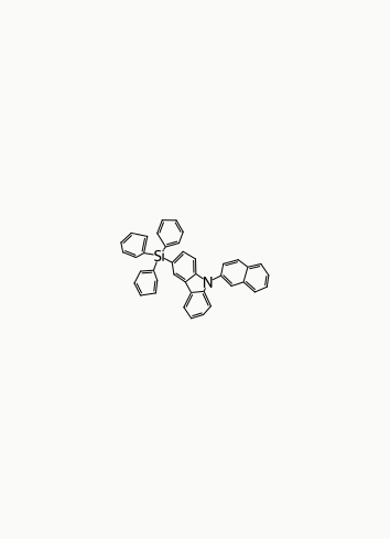 c1ccc([Si](c2ccccc2)(c2ccccc2)c2ccc3c(c2)c2ccccc2n3-c2ccc3ccccc3c2)cc1